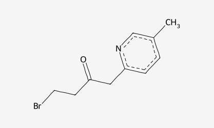 Cc1ccc(CC(=O)CCBr)nc1